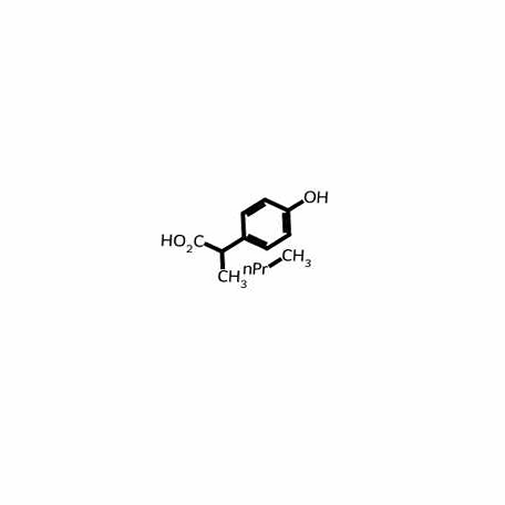 CC(C(=O)O)c1ccc(O)cc1.CCCC